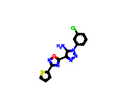 Nc1c(-c2nc(-c3cccs3)no2)nnn1-c1cccc(Cl)c1